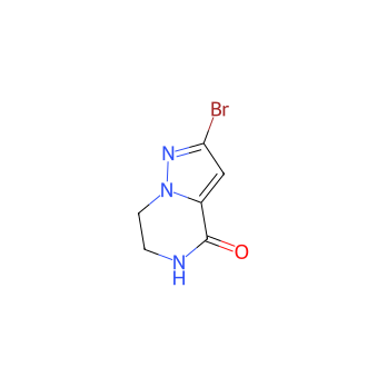 O=C1NCCn2nc(Br)cc21